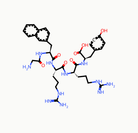 N=C(N)NCCC[C@H](NC(=O)[C@H](Cc1ccc2ccccc2c1)NC(=O)CN)C(=O)N[C@@H](CCCNC(=N)N)C(=O)N[C@H](Cc1ccc(O)cc1)C(=O)O